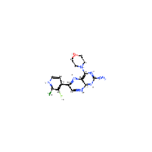 Nc1nc(N2CCOCC2)c2nc(-c3ccnc(Cl)c3F)cnc2n1